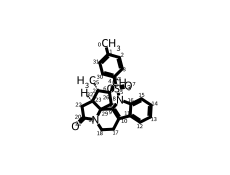 Cc1ccc(S(=O)(=O)n2c3c(c4ccccc42)CCN2C(=O)C[C@H]4[C@H](C)[C@@H](C)CC342)cc1